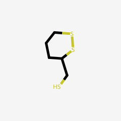 SCC1CCCSS1